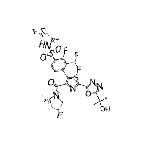 C[C@H](NS(=O)(=O)c1ccc(-c2sc(-c3nnc(C(C)(C)O)o3)nc2C(=O)N2CC(F)C[C@@H]2C)c(C(F)F)c1F)C(F)(F)F